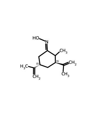 C=C(C)[C@@H]1CC(=NO)C(C)[C@@H](C(=C)C)C1